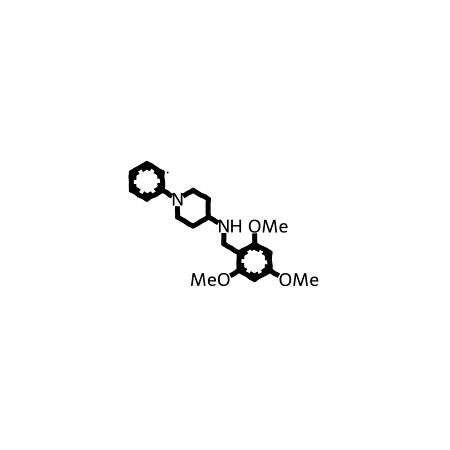 COc1cc(OC)c(CNC2CCN(c3[c]cccc3)CC2)c(OC)c1